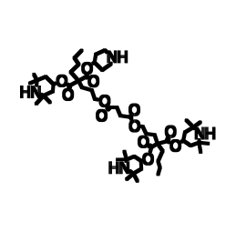 CCCCC(CCCOC(=O)CCC(=O)OCCCC(CCCC)(C(=O)OC1CC(C)(C)NC(C)(C)C1)C(=O)OC1CC(C)(C)NC(C)(C)C1)(C(=O)OC1CCNCC1)C(=O)OC1CC(C)(C)NC(C)(C)C1